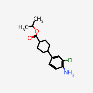 CC(C)OC(=O)C1CCC(c2ccc(N)c(Cl)c2)CC1